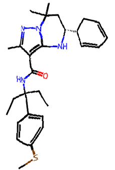 CCC(CC)(NC(=O)c1c(C)nn2c1N[C@@H](C1C=CC=CC1)CC2(C)C)c1ccc(SC)cc1